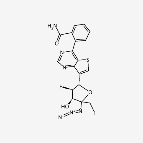 [N-]=[N+]=NC1(CI)O[C@@H](c2csc3c(-c4ccccc4C(N)=O)ncnc23)[C@H](F)[C@@H]1O